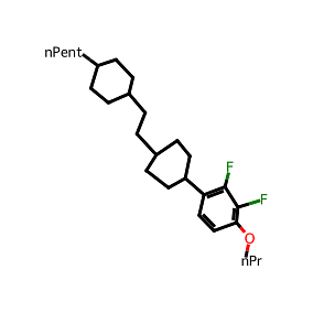 CCCCCC1CCC(CCC2CCC(c3ccc(OCCC)c(F)c3F)CC2)CC1